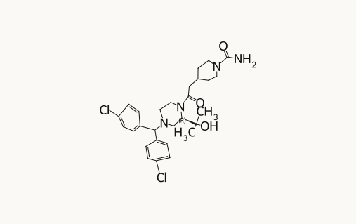 CC(C)(O)[C@H]1CN(C(c2ccc(Cl)cc2)c2ccc(Cl)cc2)CCN1C(=O)CC1CCN(C(N)=O)CC1